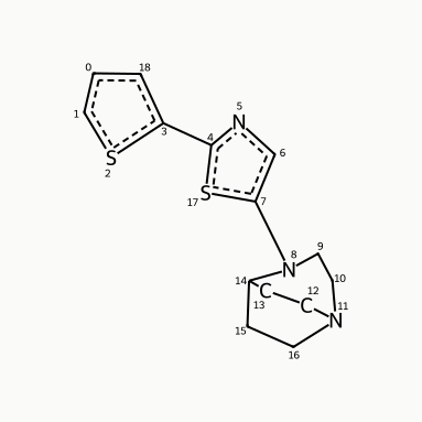 c1csc(-c2ncc(N3CCN4CCC3CC4)s2)c1